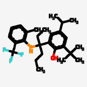 CCCC(CC)(Pc1c(C)cccc1C(F)(F)F)c1cc(C(C)C)cc(C(C)(C)C)c1O